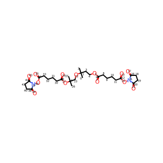 CC(C)(CCOC(=O)CCCCC(=O)ON1C(=O)CCC1=O)OCC(C)(C)OC(=O)CCCCC(=O)ON1C(=O)CCC1=O